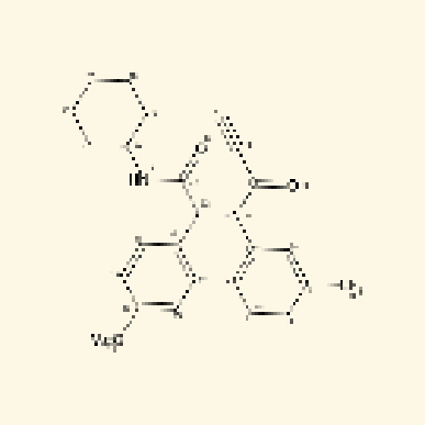 C#CC(=O)N(c1cccc(C(F)(F)F)c1)C(C(=O)NC1CCCCC1)c1ccc(OC)cc1